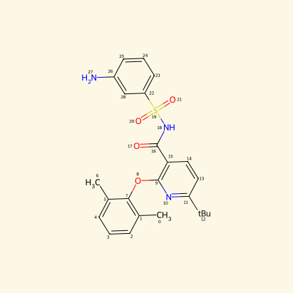 Cc1cccc(C)c1Oc1nc(C(C)(C)C)ccc1C(=O)NS(=O)(=O)c1cccc(N)c1